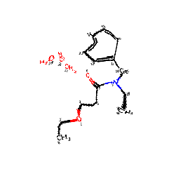 CCOCCC(=O)[N](CC)[Ge][c]1ccccc1.O.O.O